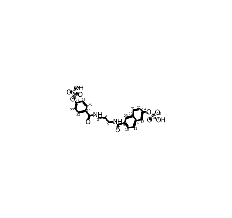 O=C(NCCCNC(=O)c1ccc2cc(OS(=O)(=O)O)ccc2c1)c1ccc(OS(=O)(=O)O)cc1